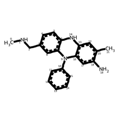 CNCc1ccc2c(c1)N(c1ccccc1)c1cc(N)c(C)cc1N2